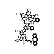 C[C@H](Cc1ccccc1)NC(=O)[C@H](Cc1ccccc1)NC(=O)[C@H](CC(=O)O)NC(=O)[C@H](CC(=O)O)NC(=O)[C@H](CC(=O)O)NC(=O)CNC(=O)CNC(=O)CNC(=O)[C@H](CC(=O)O)NC(=O)[C@H](CC(=O)O)NC(=O)CCC(=O)N1Cc2ccccc2C#Cc2ccccc21